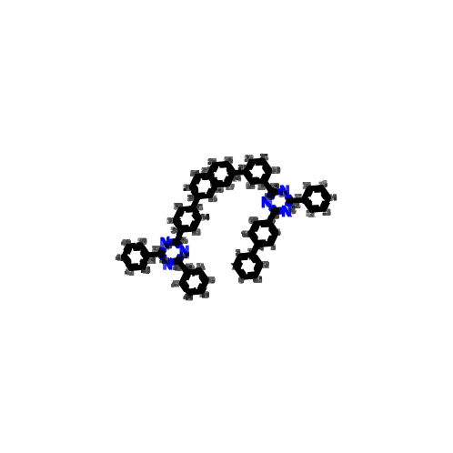 c1ccc(-c2ccc(-c3nc(-c4ccccc4)nc(-c4cccc(-c5ccc6ccc(-c7ccc(-c8nc(-c9ccccc9)nc(-c9ccccc9)n8)cc7)cc6c5)c4)n3)cc2)cc1